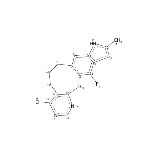 Cc1cc2c(F)c3c(cc2[nH]1)CCCc1c(Cl)ncnc1O3